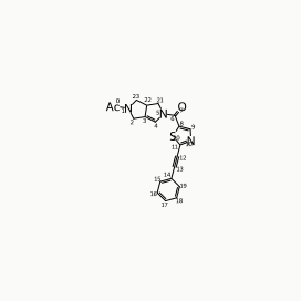 CC(=O)N1CC2=CN(C(=O)c3cnc(C#Cc4ccccc4)s3)CC2C1